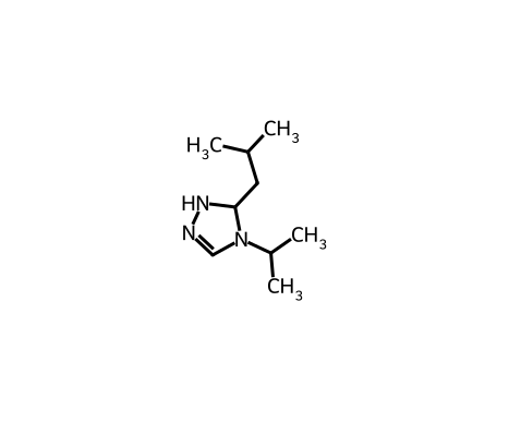 CC(C)CC1NN=CN1C(C)C